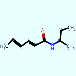 CC=CC=CC(=O)NC(C)CC